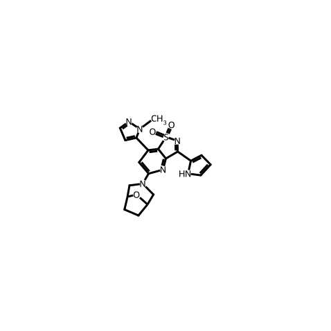 Cn1nccc1-c1cc(N2CC3CCC(C2)O3)nc2c1S(=O)(=O)N=C2c1ccc[nH]1